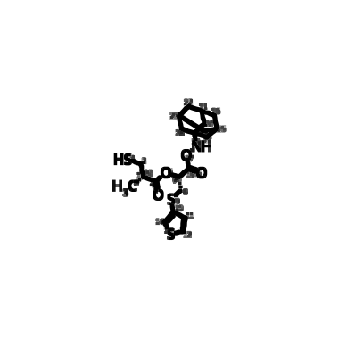 C[C@H](CS)C(=O)O[C@@H](CSc1ccsc1)C(=O)ONC12CC3CC(CC(C3)C1)C2